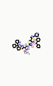 CON=C(C(=O)NC1C(=O)N2C(C(=O)OC(c3ccccc3)c3ccccc3)=C(c3cnc(-c4cccnc4)s3)CSC12)c1csc(NC(c2ccccc2)(c2ccccc2)c2ccccc2)n1